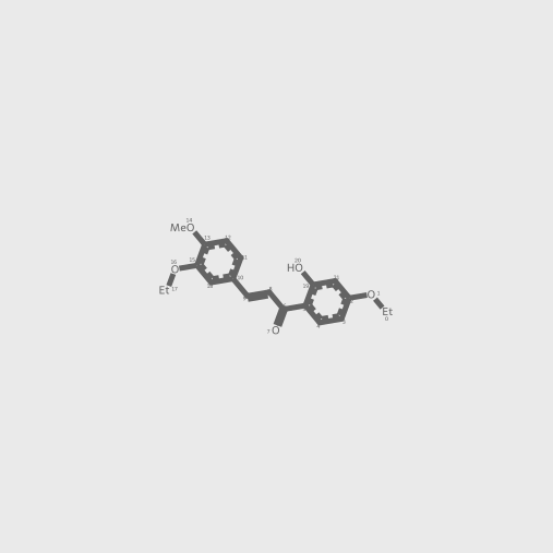 CCOc1ccc(C(=O)/C=C/c2ccc(OC)c(OCC)c2)c(O)c1